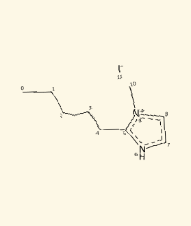 CCCCCc1[nH]cc[n+]1C.[I-]